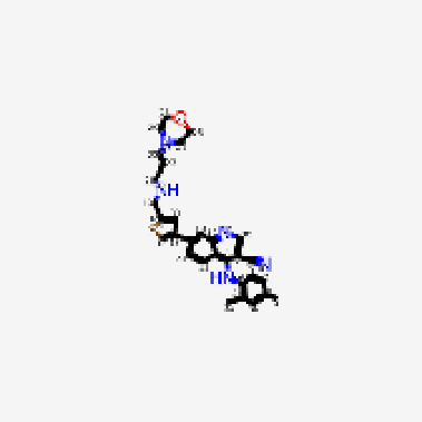 Cc1ccc(Nc2c(C#N)cnc3cc(-c4csc(CNCCCN5CCOCC5)c4)ccc23)c(C)c1